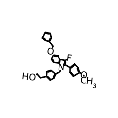 COc1ccc(-c2c(F)c3cc(OCc4ccccc4)ccc3n2Cc2ccc(CCO)cc2)cc1